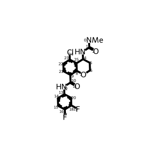 CNC(=O)NC1CCOc2c(C(=O)Nc3ccc(F)c(F)c3)ccc(Cl)c21